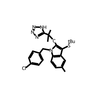 Cc1ccc2c(c1)c(SC(C)(C)C)c(CC(C)(C)c1nnn[nH]1)n2Cc1ccc(Cl)cc1